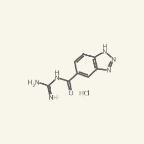 Cl.N=C(N)NC(=O)c1ccc2[nH]nnc2c1